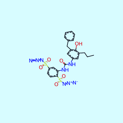 CCCc1cc(NC(=O)Nc2cc(S(=O)(=O)N=[N+]=[N-])ccc2S(=O)(=O)N=[N+]=[N-])cc(Cc2ccccc2)c1O